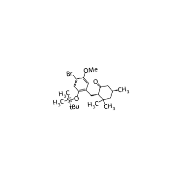 COc1cc(C[C@H]2C(=O)C[C@@H](C)CC2(C)C)c(O[Si](C)(C)C(C)(C)C)cc1Br